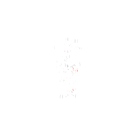 C[C@H](O[Si](C)(C)C(C)(C)C)[C@H]1CC[C@H]2[C@@H]3CC[C@@]4(Cl)CC(O[Si](C)(C)C(C)(C)C)=CC[C@]4(C)[C@H]3[C@@](C)(O)C[C@]12C